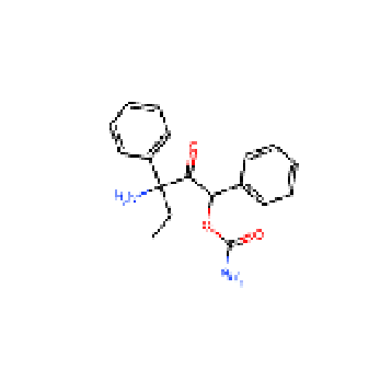 CCC(N)(C(=O)C(OC(N)=O)c1ccccc1)c1ccccc1